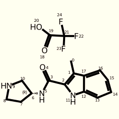 Cc1c(C(=O)N[C@@H]2CCNC2)[nH]c2ccccc12.O=C(O)C(F)(F)F